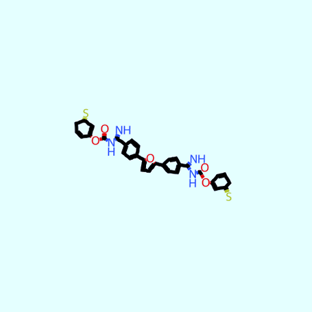 N=C(NC(=O)OC1=CC(=S)CC=C1)c1ccc(-c2ccc(-c3ccc(C(=N)NC(=O)OC4=CC(=S)CC=C4)cc3)o2)cc1